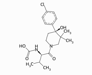 CC(C)[C@@H](NC(=O)O)C(=O)N1CC[C@](O)(c2ccc(Cl)cc2)C(C)(C)C1